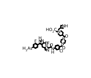 O=C(O)C[N+]1(CC2CNC2)CCC(C(=O)N2CCN(C(=O)c3ccc(NC(=O)c4ncc(Cc5c(C(F)(F)F)n[nH]c5-c5ccc([AsH2])cc5F)[nH]4)cc3Cl)CC2)CC1